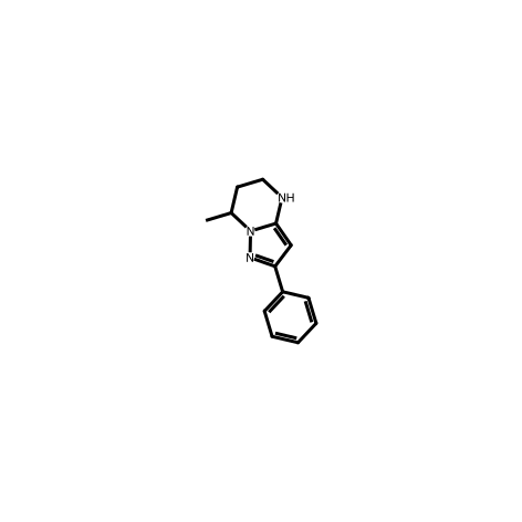 CC1CCNc2cc(-c3ccccc3)nn21